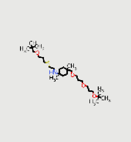 CC(C)(C)COCCCSCCN[C@]1(C)CC[C@](C)(COCCCOCCCOC(C)(C)C)CC1